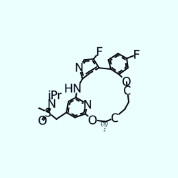 CC(C)N=S(C)(=O)Cc1cc2nc(c1)O[C@@H](C)CCCCOc1cc(F)ccc1-c1cc(ncc1F)N2